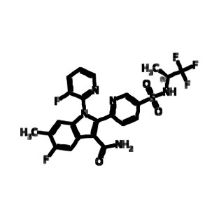 Cc1cc2c(cc1F)c(C(N)=O)c(-c1ccc(S(=O)(=O)N[C@@H](C)C(F)(F)F)cn1)n2-c1ncccc1F